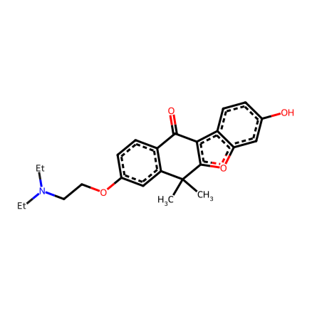 CCN(CC)CCOc1ccc2c(c1)C(C)(C)c1oc3cc(O)ccc3c1C2=O